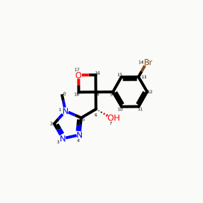 Cn1cnnc1[C@@H](O)C1(c2cccc(Br)c2)COC1